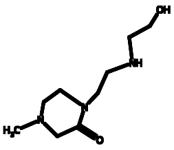 CN1CCN(CCNCCO)C(=O)C1